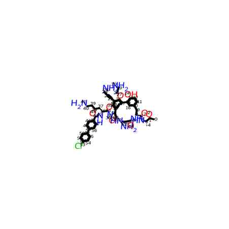 CC(=O)[C@H](C)NC(=O)[C@@H]1Cc2ccc(O)c(c2)-c2cc(cc(C#CCN)c2OCCN)[C@H](N(C)C(=O)[C@H](CCCCN)NC(=O)c2ccc(-c3ccc(Cl)cc3)cc2)C(=O)N[C@@H](N)C(=O)N1